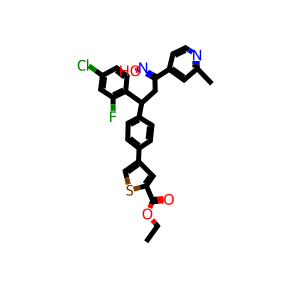 CCOC(=O)c1cc(-c2ccc(C(C/C(=N\O)c3ccnc(C)c3)c3ccc(Cl)cc3F)cc2)cs1